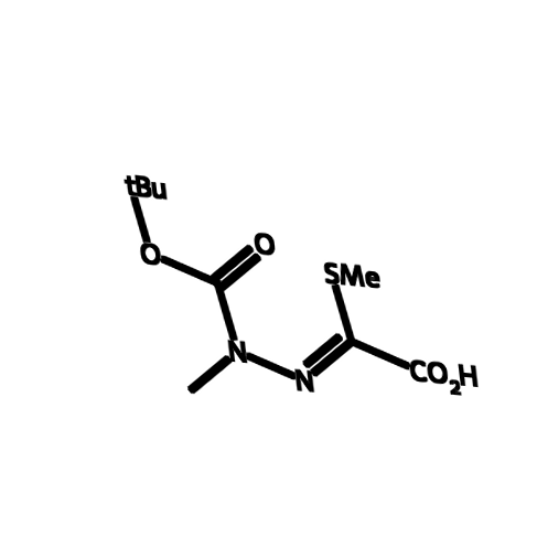 CS/C(=N\N(C)C(=O)OC(C)(C)C)C(=O)O